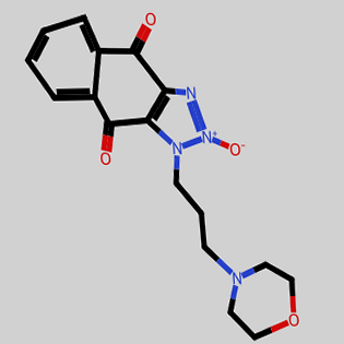 O=C1c2ccccc2C(=O)c2c1n[n+]([O-])n2CCCN1CCOCC1